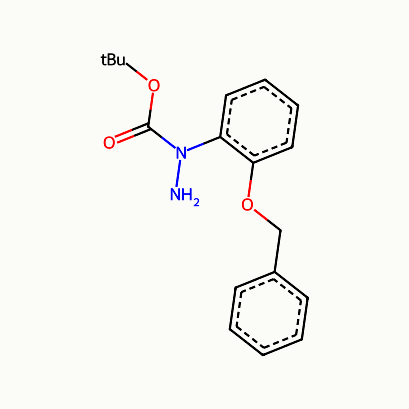 CC(C)(C)OC(=O)N(N)c1ccccc1OCc1ccccc1